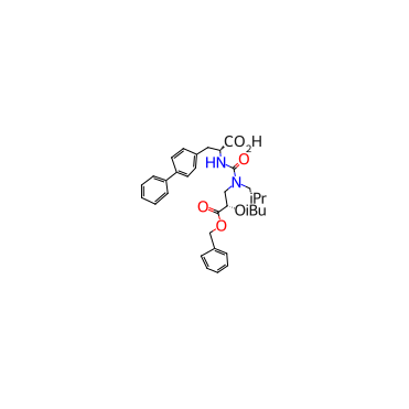 CC(C)CO[C@@H](CN(CC(C)C)C(=O)N[C@@H](Cc1ccc(-c2ccccc2)cc1)C(=O)O)C(=O)OCc1ccccc1